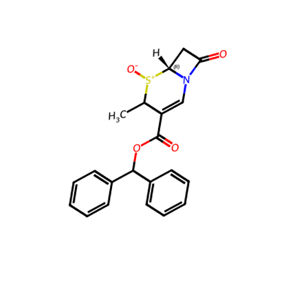 CC1C(C(=O)OC(c2ccccc2)c2ccccc2)=CN2C(=O)C[C@H]2[S+]1[O-]